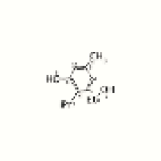 CCO.Cc1ccc(C(C)C)c(O)c1